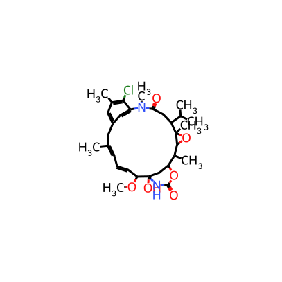 COC1/C=C/C=C(\C)Cc2cc(C)c(Cl)c(c2)N(C)C(=O)CC(C(C)C)C2(C)OC2C(C)C2CC1(O)NC(=O)O2